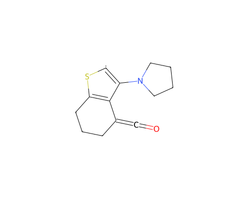 O=C=C1CCCc2s[c]c(N3CCCC3)c21